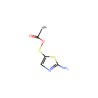 CCCC(=O)OSc1cnc(N)s1